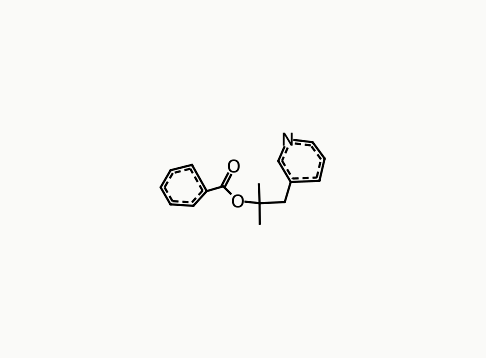 CC(C)(Cc1cccnc1)OC(=O)c1ccccc1